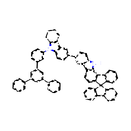 C1=Cc2c(n(-c3cccc(-c4cc(-c5ccccc5)cc(-c5ccccc5)c4)c3)c3ccc(-c4ccc5[nH]c6c7c(ccc6c5c4)C4(c5ccccc5-c5ccccc54)c4ccccc4-7)cc23)CC1